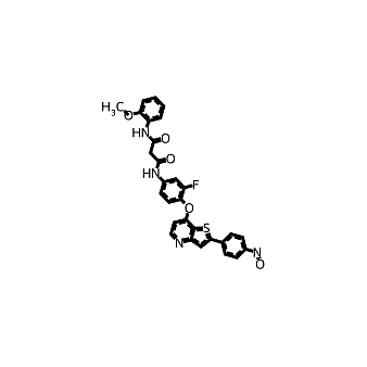 COc1ccccc1NC(=O)CC(=O)Nc1ccc(Oc2ccnc3cc(-c4ccc(N=O)cc4)sc23)c(F)c1